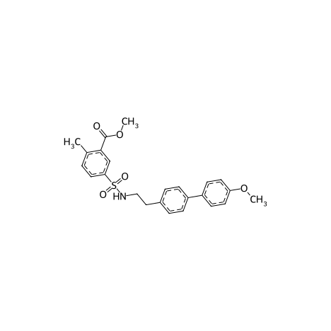 COC(=O)c1cc(S(=O)(=O)NCCc2ccc(-c3ccc(OC)cc3)cc2)ccc1C